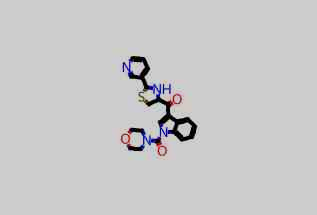 O=C(c1cn(C(=O)N2CCOCC2)c2ccccc12)C1CSC(c2cccnc2)N1